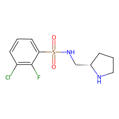 O=S(=O)(NC[C@@H]1CCCN1)c1cccc(Cl)c1F